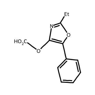 CCc1nc(OC(=O)O)c(-c2ccccc2)o1